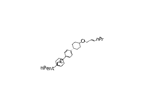 CCCC=CCO[C@H]1CC[C@H](c2ccc(C34CCC(CCCCC)(CC3)CC4)cc2)CC1